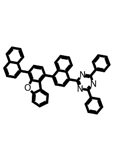 C1=CC2C=CC=C(c3ccc(-c4ccc(-c5nc(-c6ccccc6)nc(-c6ccccc6)n5)c5ccccc45)c4c3oc3ccccc34)C2C=C1